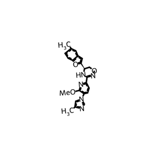 COc1nc(C2=NOC[C@H](c3cc4cc(C)ccc4o3)N2)ccc1-n1cnc(C)c1